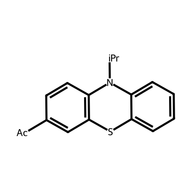 CC(=O)c1ccc2c(c1)Sc1ccccc1N2C(C)C